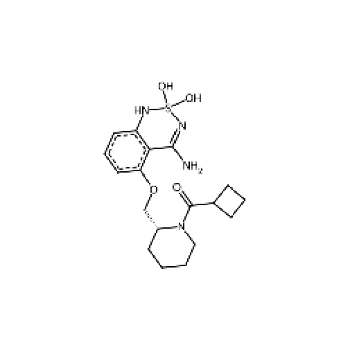 NC1=NS(O)(O)Nc2cccc(OC[C@H]3CCCCN3C(=O)C3CCC3)c21